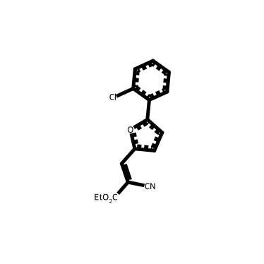 CCOC(=O)/C(C#N)=C/c1ccc(-c2ccccc2Cl)o1